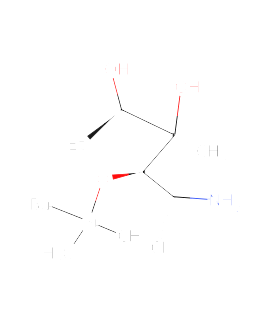 CC[C@@H](O)[C@@](C)(O)[C@H](O[Si](C)(C)C(C)(C)C)[C@@H](C)N